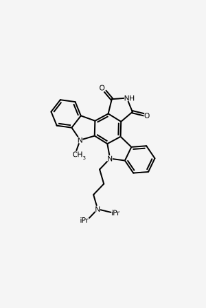 CC(C)N(CCCn1c2ccccc2c2c3c(c4c5ccccc5n(C)c4c21)C(=O)NC3=O)C(C)C